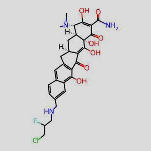 CN(C)[C@@H]1C(O)=C(C(N)=O)C(=O)[C@@]2(O)C(O)=C3C(=O)c4c(cc5ccc(CNCC(F)CCl)cc5c4O)C[C@H]3C[C@@H]12